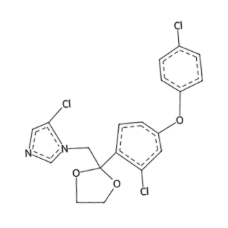 Clc1ccc(Oc2ccc(C3(Cn4cncc4Cl)OCCO3)c(Cl)c2)cc1